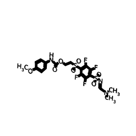 COc1ccc(NC(=O)OCCS(=O)(=O)c2c(F)c(F)c(S(=O)(=O)N=CN(C)C)c(F)c2F)cc1